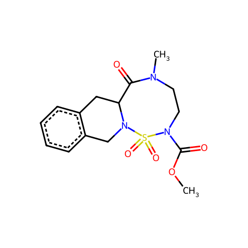 COC(=O)N1CCN(C)C(=O)C2Cc3ccccc3CN2S1(=O)=O